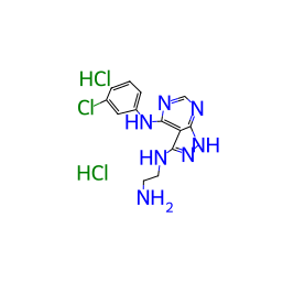 Cl.Cl.NCCNc1n[nH]c2ncnc(Nc3cccc(Cl)c3)c12